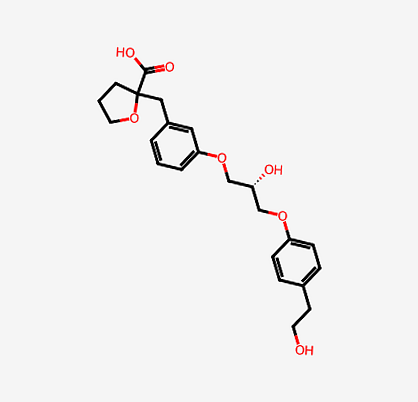 O=C(O)C1(Cc2cccc(OC[C@H](O)COc3ccc(CCO)cc3)c2)CCCO1